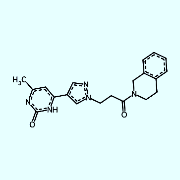 Cc1cc(-c2cnn(CCC(=O)N3CCc4ccccc4C3)c2)[nH]c(=O)n1